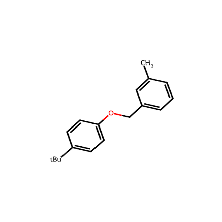 Cc1cccc(COc2ccc(C(C)(C)C)cc2)c1